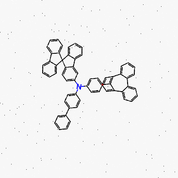 c1ccc(-c2ccc(N(c3ccc(-c4c5cccc4-c4ccccc4-c4ccccc4-5)cc3)c3ccc4c(c3)-c3ccccc3C43c4ccccc4-c4ccccc43)cc2)cc1